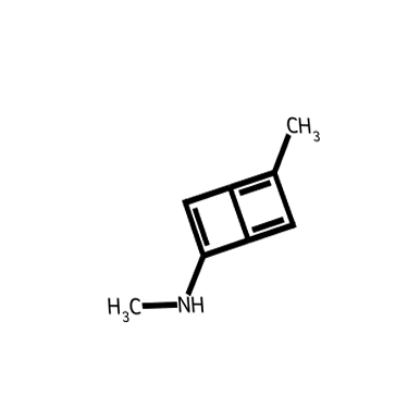 CNc1cc2c(C)cc1-2